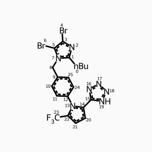 CCCCc1nc(Br)c(Br)n1Cc1ccc(-n2c(-c3nnn[nH]3)ccc2C(F)(F)F)cc1